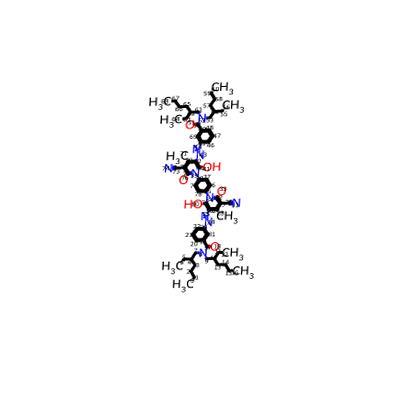 CCCCC(CC)CN(CC(CC)CCCC)C(=O)c1cccc(/N=N/c2c(C)c(C#N)c(=O)n(-c3ccc(-n4c(O)c(/N=N/c5cccc(C(=O)N(CC(CC)CCCC)CC(CC)CCCC)c5)c(C)c(C#N)c4=O)cc3)c2O)c1